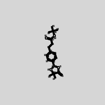 C=C1OB(c2ccc(CCC(=O)OC(C)(C)C)cc2)OC1(C)C